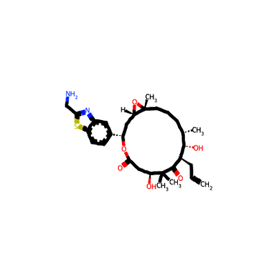 C=CC[C@H]1C(=O)C(C)(C)[C@@H](O)CC(=O)O[C@H](c2ccc3sc(CN)nc3c2)C[C@@H]2O[C@]2(C)CCC[C@H](C)[C@@H]1O